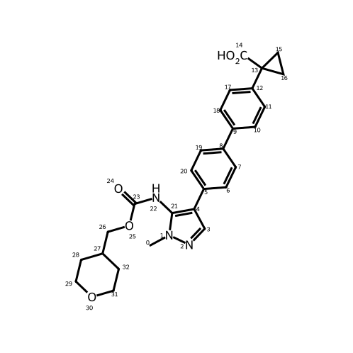 Cn1ncc(-c2ccc(-c3ccc(C4(C(=O)O)CC4)cc3)cc2)c1NC(=O)OCC1CCOCC1